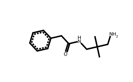 CC(C)(CN)CNC(=O)Cc1ccccc1